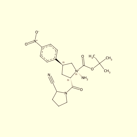 CC(C)(C)OC(=O)[N@+]1(N)C[C@H](c2ccc([N+](=O)[O-])cc2)C[C@H]1C(=O)N1CCCC1C#N